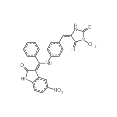 CN1C(=O)NC(=Cc2ccc(NC(=C3C(=O)Nc4ccc([N+](=O)[O-])cc43)c3ccccc3)cc2)C1=O